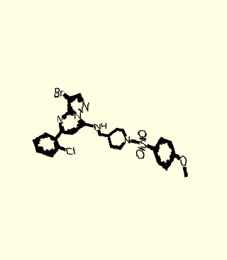 COc1ccc(S(=O)(=O)N2CCC(CNc3cc(-c4ccccc4Cl)nc4c(Br)cnn34)CC2)cc1